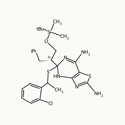 CC(C)C[C@H](CO[Si](C)(C)C(C)(C)C)C1(SC(C)c2ccccc2Cl)N=C(N)c2sc(N)nc2N1